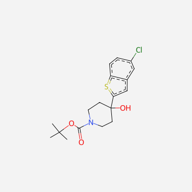 CC(C)(C)OC(=O)N1CCC(O)(c2cc3cc(Cl)ccc3s2)CC1